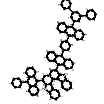 c1ccc(-c2cc(-c3ccccc3)cc(-c3c4ccccc4c(-c4ccc(-c5c6ccccc6c(-c6cc7cc(-c8c9ccccc9c(-c9ccccc9)c9ccccc89)c8sc9ccccc9c8c7c7c6sc6ccccc67)c6ccccc56)cc4)c4ccccc34)c2)cc1